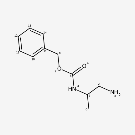 CC(CN)NC(=O)OCc1ccccc1